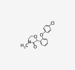 CN1CCOC(c2ccccc2Oc2ccc(Cl)cc2)C1=O